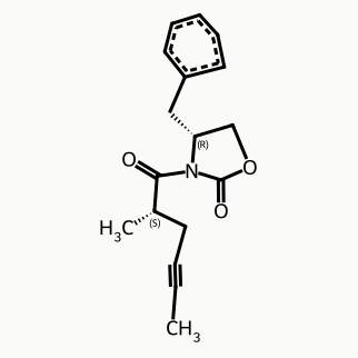 CC#CC[C@H](C)C(=O)N1C(=O)OC[C@H]1Cc1ccccc1